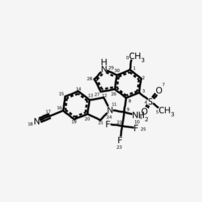 Cc1cc(S(C)(=O)=O)c(C(N)(N2Cc3ccc(C#N)cc3C2)C(F)(F)F)c2cc[nH]c12